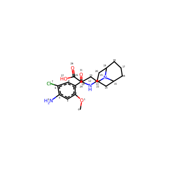 COc1cc(N)c(Cl)cc1C(=O)NC1CC2CCCC(C1)N2CCCC(=O)O